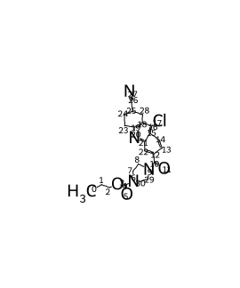 CCCOC(=O)N1CCN(C(=O)c2ccc3c(Cl)c4c(nc3c2)CCC(C#N)C4)CC1